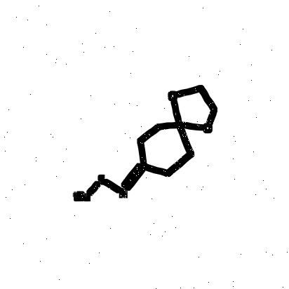 CC(C)(C)SN=C1CCC2(CC1)OCCO2